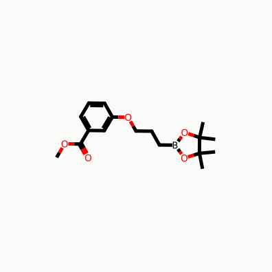 COC(=O)c1cccc(OCCCB2OC(C)(C)C(C)(C)O2)c1